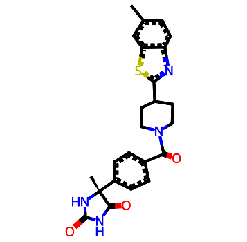 Cc1ccc2nc(C3CCN(C(=O)c4ccc([C@@]5(C)NC(=O)NC5=O)cc4)CC3)sc2c1